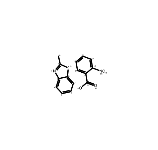 Cc1nc2ccccc2s1.[O]C(=O)c1ccccc1[N+](=O)[O-]